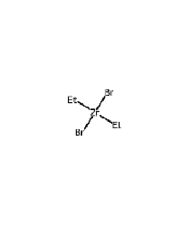 C[CH2][Zr]([Br])([Br])[CH2]C